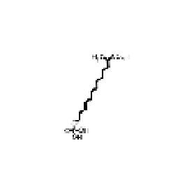 CC(=CCCCCCCCCCCOP(=O)(O)O)C(=O)O